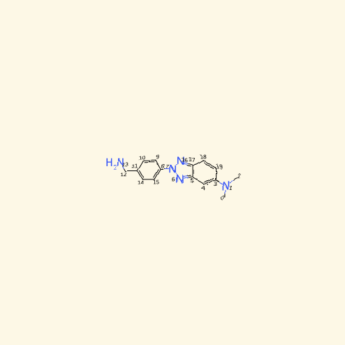 CN(C)c1[c]c2nn(-c3ccc(CN)cc3)nc2cc1